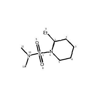 CCC1CCCCN1S(=O)(=O)N(C)C